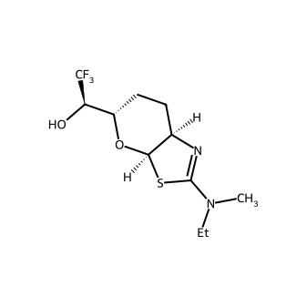 CCN(C)C1=N[C@@H]2CC[C@@H]([C@@H](O)C(F)(F)F)O[C@@H]2S1